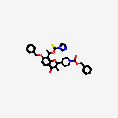 Cc1c(C2CCN(C(=O)OCc3ccccc3)CC2)oc2c(C(C)OC(=S)n3ccnc3)c(OCc3ccccc3)ccc2c1=O